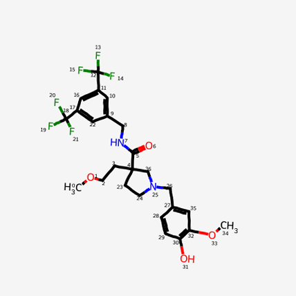 COCCC1(C(=O)NCc2cc(C(F)(F)F)cc(C(F)(F)F)c2)CCN(Cc2ccc(O)c(OC)c2)C1